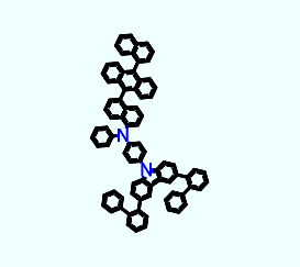 c1ccc(-c2ccccc2-c2ccc3c(c2)c2cc(-c4ccccc4-c4ccccc4)ccc2n3-c2ccc(N(c3ccccc3)c3cccc4c(-c5c6ccccc6c(-c6cccc7ccccc67)c6ccccc56)cccc34)cc2)cc1